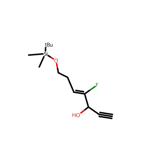 C#CC(O)C(F)=CCCO[Si](C)(C)C(C)(C)C